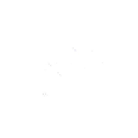 COc1ccc2[nH]c([S+]([O-])Cc3nccc4c3CCCC4)nc2c1